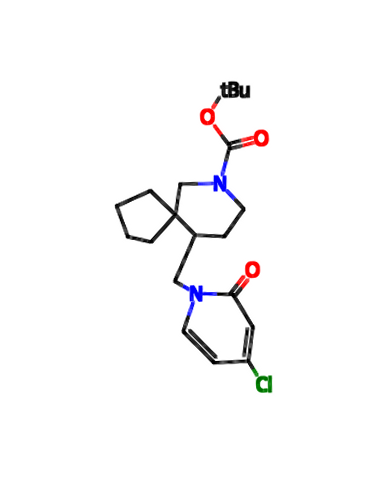 CC(C)(C)OC(=O)N1CCC(Cn2ccc(Cl)cc2=O)C2(CCCC2)C1